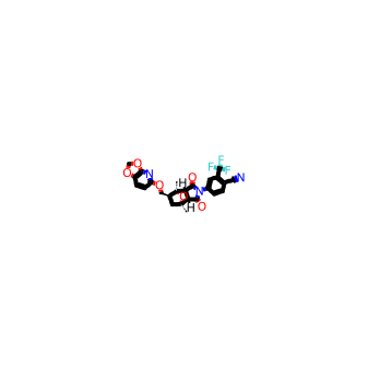 C[C@]12O[C@](C)(C[C@H]1COc1ccc3c(n1)OCO3)[C@H]1C(=O)N(c3ccc(C#N)c(C(F)(F)F)c3)C(=O)[C@H]12